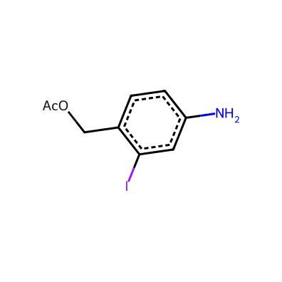 CC(=O)OCc1ccc(N)cc1I